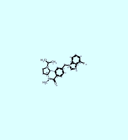 CC(C)N1CC[C@@H](N(C)C(=O)c2ccc(Cn3cnc4c(F)cccc43)cc2)C1